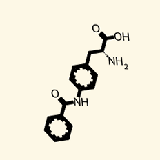 N[C@H](Cc1ccc(NC(=O)c2ccccc2)cc1)C(=O)O